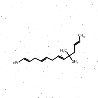 CC=CCC(C)(C)C=CCC=CCC=CCCC